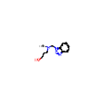 CCCCN(CCCO)Cn1nnc2ccccc21